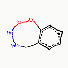 c1ccc2c(c1)CNNOO2